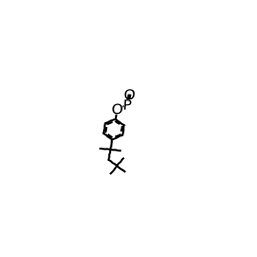 CC(C)(C)CC(C)(C)c1ccc(OP=O)cc1